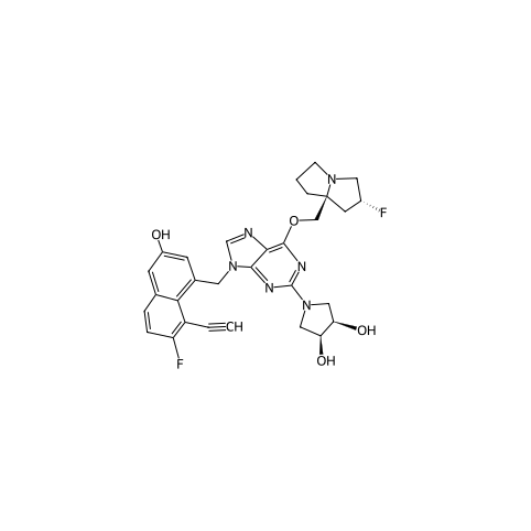 C#Cc1c(F)ccc2cc(O)cc(Cn3cnc4c(OC[C@@]56CCCN5C[C@H](F)C6)nc(N5C[C@@H](O)[C@@H](O)C5)nc43)c12